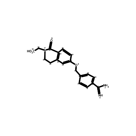 N=C(N)c1ccc(COc2ccc3c(c2)CCN(CC(=O)O)C3=O)cc1